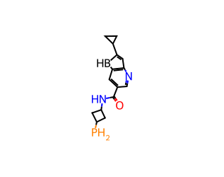 O=C(NC1CC(P)C1)c1cnc2c(c1)BC(C1CC1)=C2